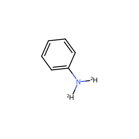 [2H]N([2H])c1ccccc1